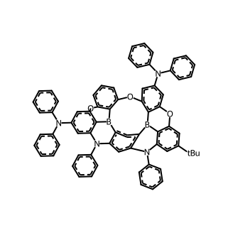 CC(C)(C)c1cc2c3c(c1)N(c1ccccc1)c1cc4c5cc1B3c1c(cc(N(c3ccccc3)c3ccccc3)cc1O2)Oc1cccc2c1B5c1c(cc(N(c3ccccc3)c3ccccc3)cc1N4c1ccccc1)O2